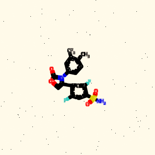 Cc1ccc(-n2c(-c3cc(F)c(S(N)(=O)=O)cc3F)coc2=O)cc1C(F)(F)F